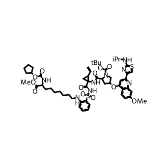 C=CC1CC1(NC(=O)C1CC(Oc2cc(-c3csc(NC(C)C)n3)nc3cc(OC)ccc23)CN1C(=O)OC(C)(C)C)C(=O)NS(=O)(=O)c1ccccc1NCCCCCCCC(NC(=O)OC1CCCC1)C(=O)OC